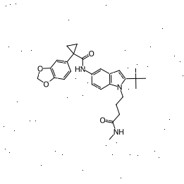 CNC(=O)CCCn1c(C(C)(C)C)cc2cc(NC(=O)C3(c4ccc5c(c4)OCO5)CC3)ccc21